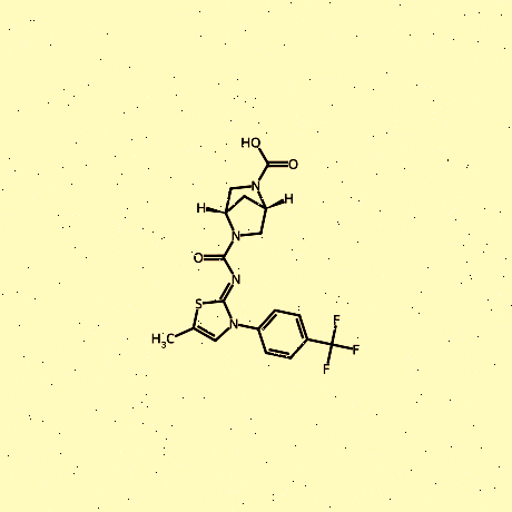 Cc1cn(-c2ccc(C(F)(F)F)cc2)c(=NC(=O)N2C[C@@H]3C[C@H]2CN3C(=O)O)s1